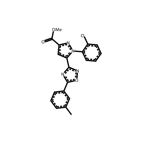 COC(=O)c1cc(-c2noc(-c3cccc(C)c3)n2)n(-c2ccccc2Cl)n1